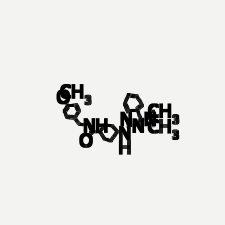 COc1ccc(CNC(=O)C2CCC(Nc3nc(N(C)C)c4ccccc4n3)CC2)cc1